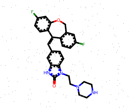 O=c1[nH]c2cc(/C=C3\c4ccc(F)cc4COc4cc(F)ccc43)ccc2n1CCN1CCNCC1